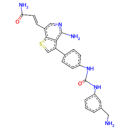 NCc1cccc(NC(=O)Nc2ccc(-c3csc4c(C=CC(N)=O)cnc(N)c34)cc2)c1